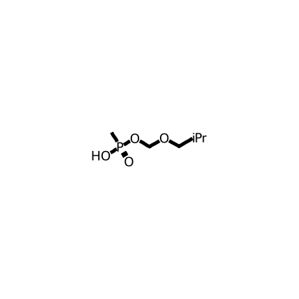 CC(C)COCOP(C)(=O)O